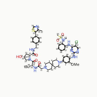 COc1cc(N2CCC3(CCN(CC(=O)N[C@H](C(=O)N4C[C@H](O)C[C@H]4C(=O)NCc4ccc(-c5scnc5C)cc4)C(C)(C)C)CC3)CC2)ccc1Nc1ncc(Cl)c(Nc2ccccc2N(C)S(C)(=O)=O)n1